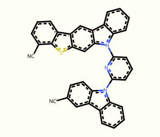 N#Cc1ccc2c(c1)c1ccccc1n2-c1cccc(-n2c3ccccc3c3cc4c(cc32)sc2c(C#N)cccc24)n1